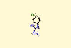 NC1N=C2C=CC(Br)=CC2N1